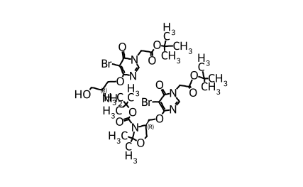 CC(C)(C)OC(=O)Cn1cnc(OC[C@H](N)CO)c(Br)c1=O.CC(C)(C)OC(=O)Cn1cnc(OC[C@H]2COC(C)(C)N2C(=O)OC(C)(C)C)c(Br)c1=O